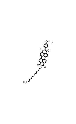 CCCCCCCCCCCCN1C(=O)c2ccc3c4ccc5c6c(ccc(c7ccc(c2c37)C1=O)c64)C(=O)N(c1ccc(OC)cc1)C5=O